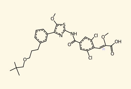 CO/C(=C\c1c(Cl)cc(C(=O)Nc2nc(-c3cccc(CCCOCC(C)(C)C)c3)c(OC)s2)cc1Cl)C(=O)O